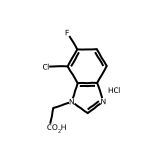 Cl.O=C(O)Cn1cnc2ccc(F)c(Cl)c21